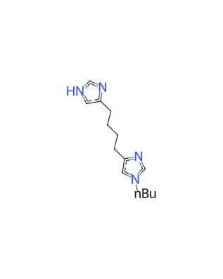 CCCCn1cnc(CCCCc2c[nH]cn2)c1